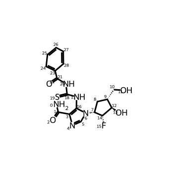 NC(=O)c1ncn([C@@H]2C[C@H](CO)[C@@H](O)[C@@H]2F)c1NC(=S)NC(=O)c1ccccc1